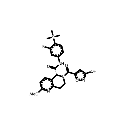 COc1ccc2c(n1)CCN(C(=O)c1cc(O)no1)[C@H]2C(=O)Nc1ccc(S(C)(C)C)c(F)c1